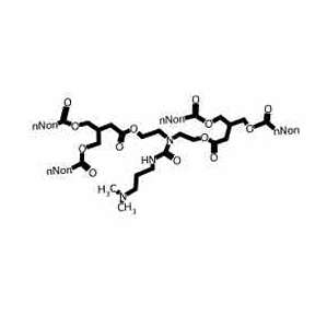 CCCCCCCCCC(=O)OCC(COC(=O)CCCCCCCCC)CC(=O)OCCN(CCOC(=O)CC(COC(=O)CCCCCCCCC)COC(=O)CCCCCCCCC)C(=O)NCCCN(C)C